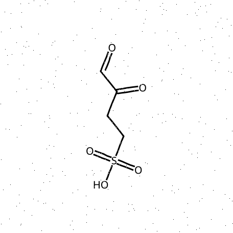 O=CC(=O)CCS(=O)(=O)O